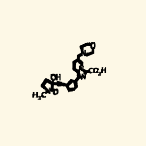 CN1CC[C@@](O)(C#Cc2cccc(-c3nc(C(=O)O)n4cc(CN5CCOCC5)ccc34)c2)C1=O